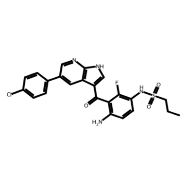 CCCS(=O)(=O)Nc1ccc(N)c(C(=O)c2c[nH]c3ncc(-c4ccc(Cl)cc4)cc23)c1F